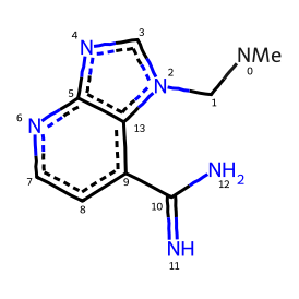 CNCn1cnc2nccc(C(=N)N)c21